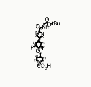 CC(C)(C)OC(=O)CNC(=O)c1ncc(-c2cc(F)c(OCC3CCN(C(=O)O)CC3)c(F)c2)cn1